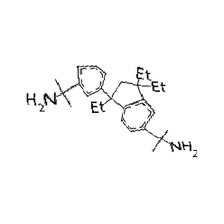 CCC1(CC)CC(CC)(c2cccc(C(C)(C)N)c2)c2ccc(C(C)(C)N)cc21